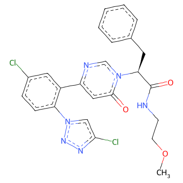 COCCNC(=O)[C@H](Cc1ccccc1)n1cnc(-c2cc(Cl)ccc2-n2cc(Cl)nn2)cc1=O